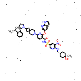 CC(C)c1ccccc1[C@H]1CCCN1C1CC2(CCN(c3ccc(C(=O)NS(=O)(=O)c4cnc(NC[C@H]5CC[C@](C)(O)CC5)c([N+](=O)[O-])c4)c(Oc4cnc5[nH]ccc5c4)n3)CC2)C1